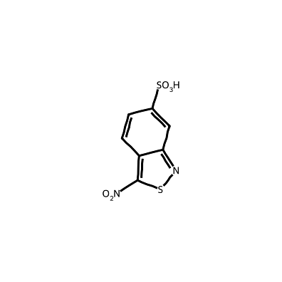 O=[N+]([O-])c1snc2cc(S(=O)(=O)O)ccc12